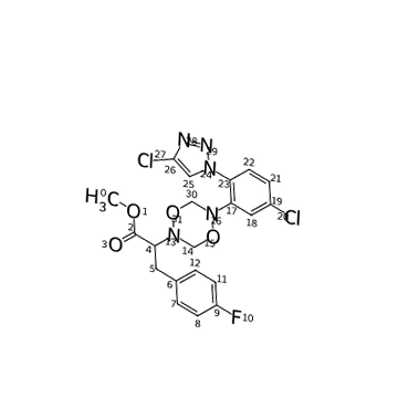 COC(=O)C(Cc1ccc(F)cc1)N1CON(c2cc(Cl)ccc2-n2cc(Cl)nn2)CO1